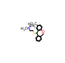 CN(C)CCSC1c2ccccc2COc2ccc(C(=O)O)cc21